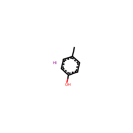 Cc1ccc(O)cc1.I